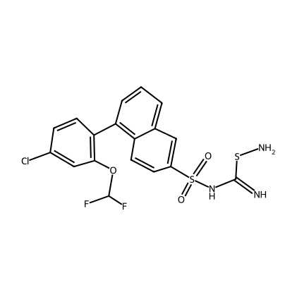 N=C(NS(=O)(=O)c1ccc2c(-c3ccc(Cl)cc3OC(F)F)cccc2c1)SN